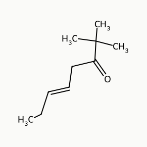 CC/C=C/CC(=O)C(C)(C)C